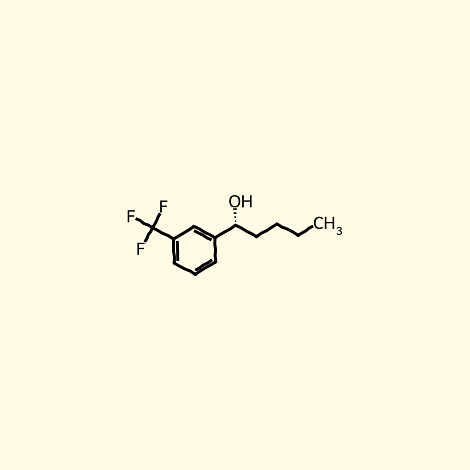 CCCC[C@@H](O)c1cccc(C(F)(F)F)c1